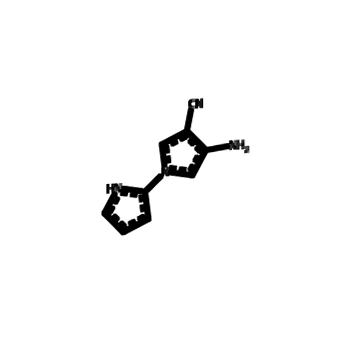 N#Cc1cn(-c2ccc[nH]2)cc1N